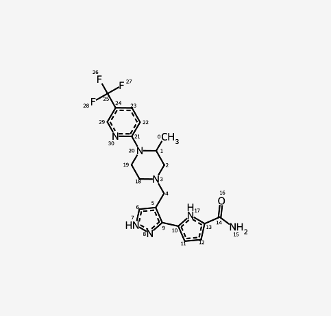 CC1CN(Cc2c[nH]nc2-c2ccc(C(N)=O)[nH]2)CCN1c1ccc(C(F)(F)F)cn1